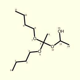 CCCCOC(C)(OCCCC)OC(C)O